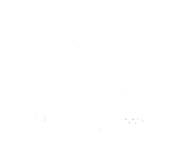 CNS(=O)(=O)c1cc2c(s1)S(=O)(=O)C=CC2.Cl